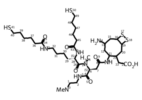 CNCCNC(=O)[C@H](CC(=O)NC1CC(N)CC2SSC2CC1CC(=O)O)N(C)C(=O)[C@H](CCCCNC(=O)CCCCCS)NC(=O)CCCCCS